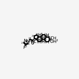 C[C@@]1(O)CC[C@H]2[C@H](CC[C@@H]3[C@@H]2CC[C@]2(C)[C@@H](C(=O)Cn4cc(F)cn4)CC[C@@H]32)C1